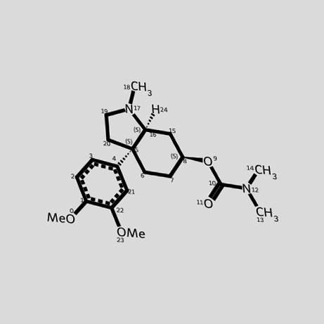 COc1ccc([C@@]23CC[C@H](OC(=O)N(C)C)C[C@@H]2N(C)CC3)cc1OC